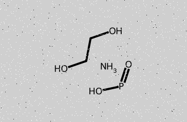 N.O=PO.OCCO